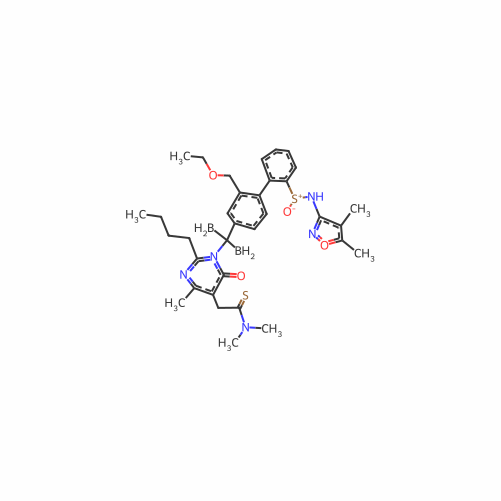 BC(B)(c1ccc(-c2ccccc2[S+]([O-])Nc2noc(C)c2C)c(COCC)c1)n1c(CCCC)nc(C)c(CC(=S)N(C)C)c1=O